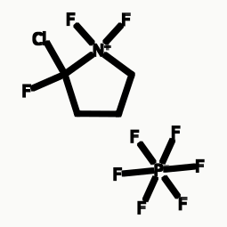 FC1(Cl)CCC[N+]1(F)F.F[P-](F)(F)(F)(F)F